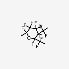 CC(F)(F)C1(F)OC(F)(F)C(F)(F)C(F)(F)C1(F)C(C)(F)F